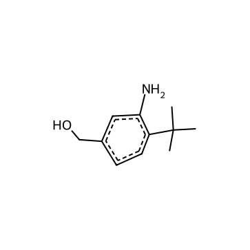 CC(C)(C)c1ccc(CO)cc1N